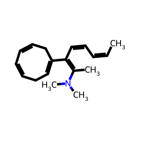 C\C=C/C=C\C(C1=CC/C=C\C=C/C1)=C(/C)N(C)C